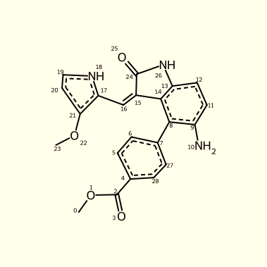 COC(=O)c1ccc(-c2c(N)ccc3c2C(=Cc2[nH]ccc2OC)C(=O)N3)cc1